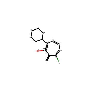 C=C1C(F)=CC=CC(C2CCCCC2)=C1O